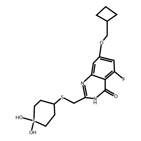 O=c1[nH]c(CSC2CCS(O)(O)CC2)nc2cc(OCC3CCC3)cc(F)c12